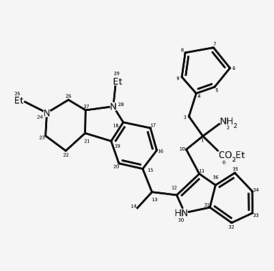 CCOC(=O)C(N)(Cc1ccccc1)Cc1c(C(C)c2ccc3c(c2)C2CCN(CC)CC2N3CC)[nH]c2ccccc12